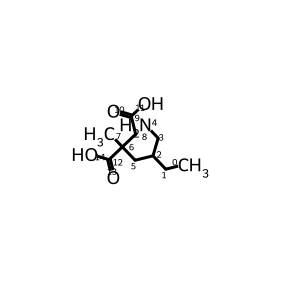 CCC(CN)CC(C)(CC(=O)O)C(=O)O